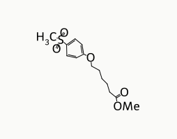 COC(=O)CCCCCOc1ccc(S(C)(=O)=O)cc1